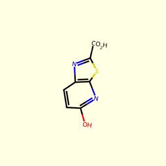 O=C(O)c1nc2ccc(O)nc2s1